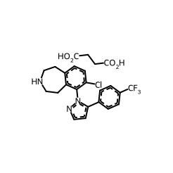 FC(F)(F)c1ccc(-c2ccnn2-c2c(Cl)ccc3c2CCNCC3)cc1.O=C(O)CCC(=O)O